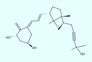 C=C1/C(=C/C=C/[C@@H]2CC[C@](C)([C@H](C)CC#CC(C)(C)O)C2(C)C)C[C@@H](O)C[C@@H]1O